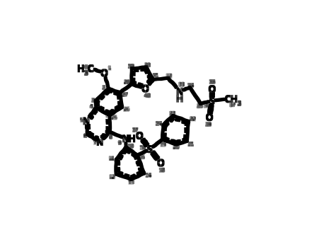 COc1cc2ncnc(Nc3ccccc3S(=O)(=O)c3ccccc3)c2cc1-c1ccc(CNCCS(C)(=O)=O)o1